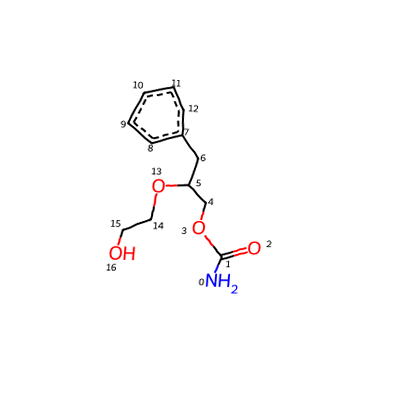 NC(=O)OCC(Cc1ccccc1)OCCO